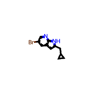 Brc1cnc2[nH]c(CC3CC3)cc2c1